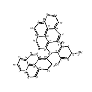 CC(C)C1=CC(C(C)C)CC(C(C)C)=C1B(C1=c2ccc3cccc4ccc(c2c43)CC1)c1ccc2ccc3cccc4ccc1c2c34